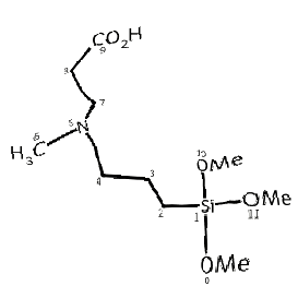 CO[Si](CCCN(C)CCC(=O)O)(OC)OC